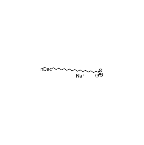 CCCCCCCCCCCCCCCCCCCCCCCCCCCS(=O)(=O)[O-].[Na+]